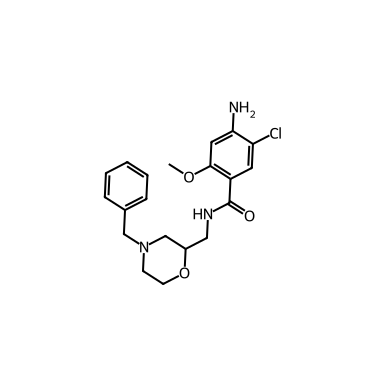 COc1cc(N)c(Cl)cc1C(=O)NCC1CN(Cc2ccccc2)CCO1